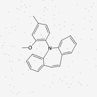 COc1cc(C)ccc1N1c2ccccc2C=Cc2ccccc21